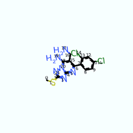 CSc1nc2nc(-c3ccc(Cl)cc3Cl)c(CN)c(N)n2n1